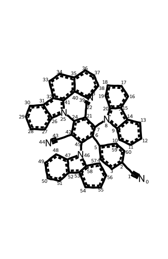 N#Cc1ccc(-c2c(-n3c4ccccc4c4ccccc43)c(C#N)c(-n3c4ccccc4c4ccc5ccccc5c43)c(C#N)c2-n2c3ccccc3c3ccccc32)cc1